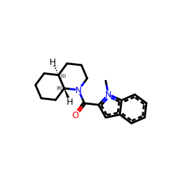 Cn1c(C(=O)N2CCC[C@@H]3CCCC[C@H]32)cc2ccccc21